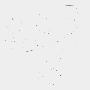 Cc1cc2c3c(c1)N1c4ccccc4C(C)(C)c4cccc(c41)B3N(c1ccc3c(c1)C(C)(C)CCC3(C)C)c1ccc3c(c1-2)-c1ccccc1C3(C)C